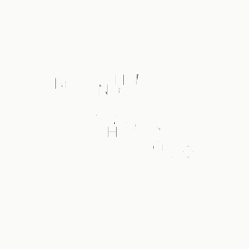 CC(=O)OC[C@H]1O[C@@H]2SC(CBr)=N[C@@H]2[C@@H](C)[C@@H]1C